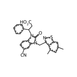 Cc1cc(C)c2c(Cn3c(=O)n(C(CC(=O)O)c4ccccc4)c4ccc(C#N)cc43)nsc2c1